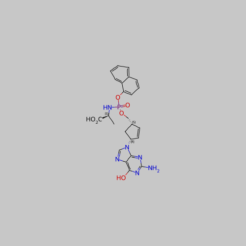 C[C@H](NP(=O)(OC[C@@H]1C=C[C@H](n2cnc3c(O)nc(N)nc32)C1)Oc1cccc2ccccc12)C(=O)O